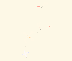 C[N+](C)(C)CCOP(=O)(O)OCC(CO)OCCCC(=O)O